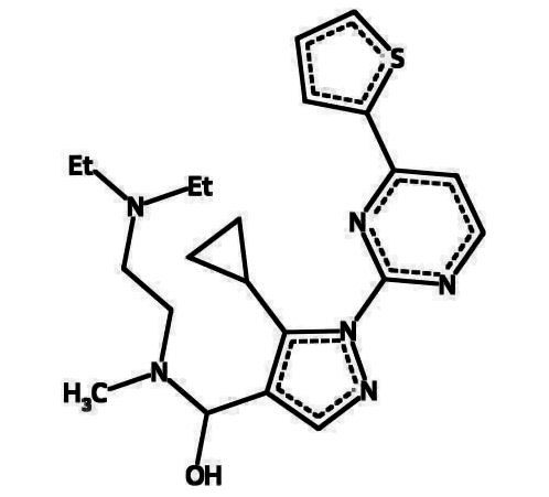 CCN(CC)CCN(C)C(O)c1cnn(-c2nccc(-c3cccs3)n2)c1C1CC1